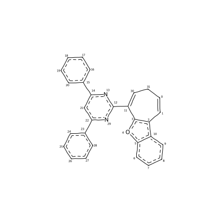 C1=Cc2c(oc3ccccc23)C(c2nc(-c3ccccc3)cc(-c3ccccc3)n2)=CC1